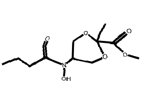 CCCC(=O)N(O)C1COC(C)(C(=O)OC)OC1